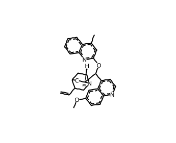 C=CC1CN2CCC1C[C@@H]2C(Oc1cc(C)c2ccccc2n1)c1ccnc2ccc(OC)cc12